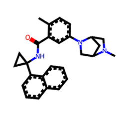 Cc1ccc(N2CC3CC2CN3C)cc1C(=O)NC1(c2cccc3ccccc23)CC1